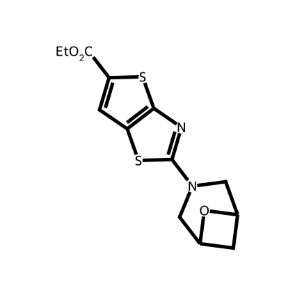 CCOC(=O)c1cc2sc(N3CC4CC(C3)O4)nc2s1